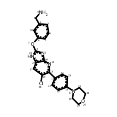 NCc1cccc(Oc2nc3nc(-c4ccc(N5CCOCC5)cc4)c(Cl)cc3[nH]2)c1